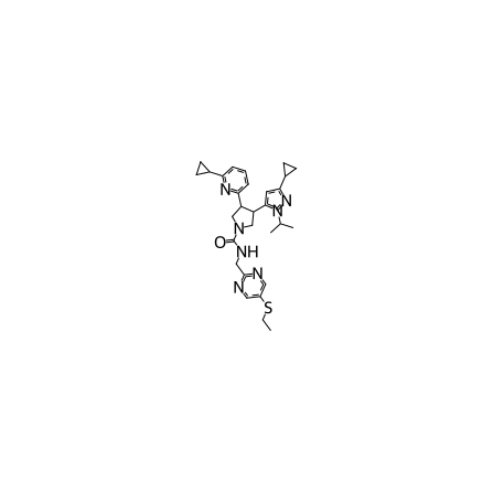 CCSc1cnc(CNC(=O)N2CC(c3cccc(C4CC4)n3)C(c3cc(C4CC4)nn3C(C)C)C2)nc1